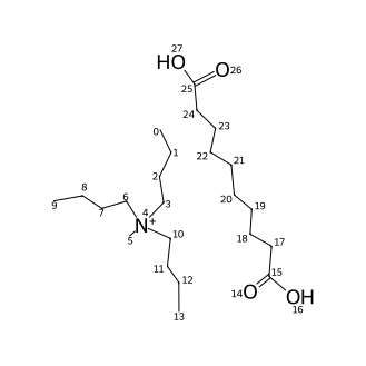 CCCC[N+](C)(CCCC)CCCC.O=C(O)CCCCCCCCC(=O)O